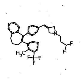 Cc1c(C2=C(c3ccc(C=C4CN(CCC(F)F)C4)cc3)c3ccccc3CCC2)cccc1C(F)(F)F